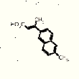 CC(=CC(=O)O)c1ccc2cc(C)ccc2c1